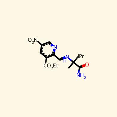 CCOC(=O)c1cc([N+](=O)[O-])cnc1/C=N/C(C)(C(N)=O)C(C)C